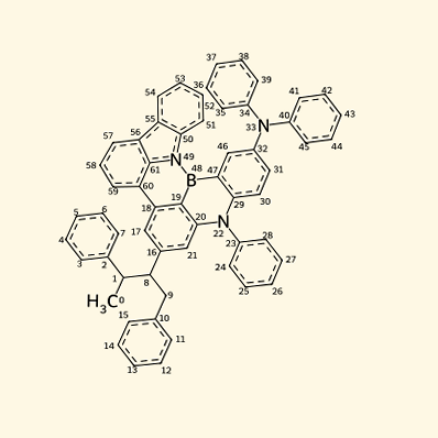 CC(c1ccccc1)C(Cc1ccccc1)c1cc2c3c(c1)N(c1ccccc1)c1ccc(N(c4ccccc4)c4ccccc4)cc1B3n1c3ccccc3c3cccc-2c31